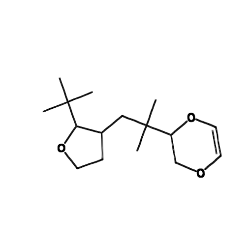 CC(C)(C)C1OCCC1CC(C)(C)C1COC=CO1